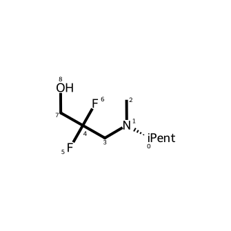 CCC[C@@H](C)N(C)CC(F)(F)CO